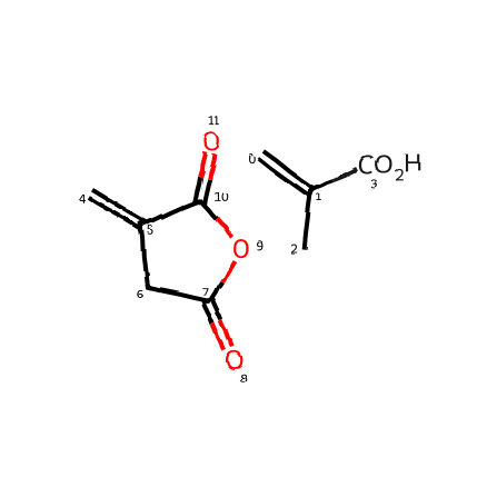 C=C(C)C(=O)O.C=C1CC(=O)OC1=O